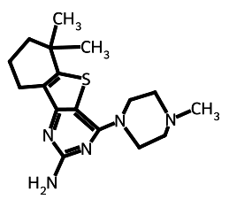 CN1CCN(c2nc(N)nc3c4c(sc23)C(C)(C)CCC4)CC1